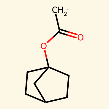 [CH2]C(=O)OC12CCC(CC1)C2